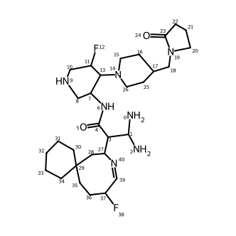 NC(N)C(C(=O)NC1CNCC(F)C1N1CCC(CN2CCCC2=O)CC1)C1CC2(CCCCC2)CCC(F)/C=N\1